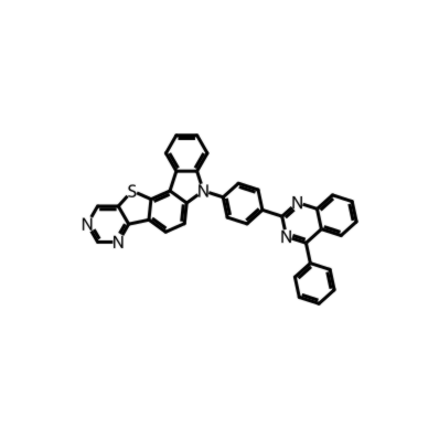 c1ccc(-c2nc(-c3ccc(-n4c5ccccc5c5c6sc7cncnc7c6ccc54)cc3)nc3ccccc23)cc1